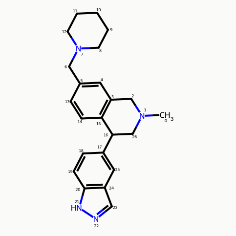 CN1Cc2cc(CN3CCCCC3)ccc2C(c2ccc3[nH]ncc3c2)C1